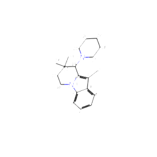 Cc1c2n(c3ccccc13)CCC(C)(C)C2N1CCCCC1